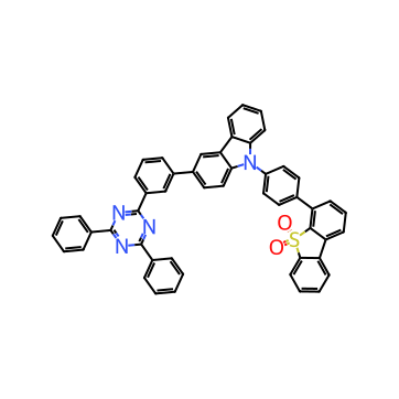 O=S1(=O)c2ccccc2-c2cccc(-c3ccc(-n4c5ccccc5c5cc(-c6cccc(-c7nc(-c8ccccc8)nc(-c8ccccc8)n7)c6)ccc54)cc3)c21